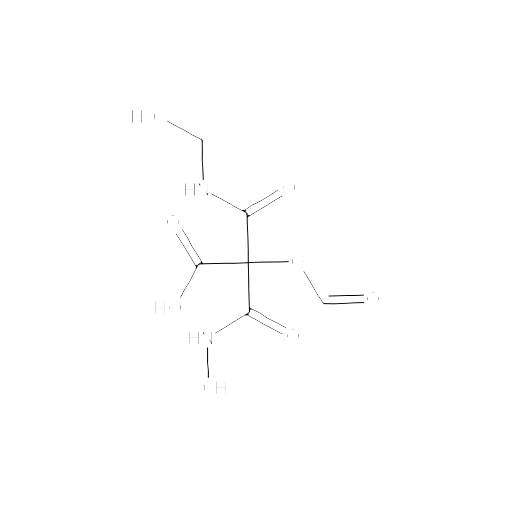 CCNC(=O)C(OC=O)(C(=O)O)C(=O)NC